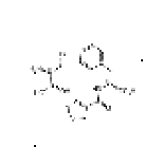 CC(C)C[C@H](N)B(O)O.O=C(N[C@@H](Cc1ccccc1)C(=O)O)c1ccoc1